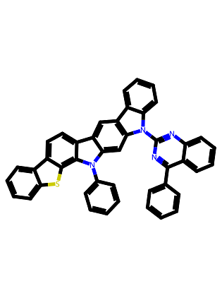 c1ccc(-c2nc(-n3c4ccccc4c4cc5c6ccc7c8ccccc8sc7c6n(-c6ccccc6)c5cc43)nc3ccccc23)cc1